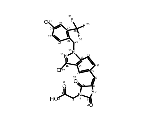 O=C(O)CN1C(=O)SC(=Cc2ccc3c(c2)c(Cl)nn3Cc2ccc(Cl)cc2C(F)(F)F)C1=O